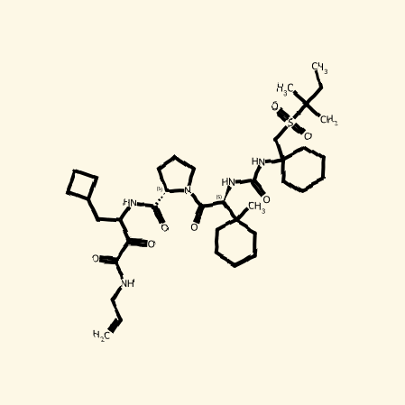 C=CCNC(=O)C(=O)C(CC1CCC1)NC(=O)[C@@H]1CCCN1C(=O)[C@@H](NC(=O)NC1(CS(=O)(=O)C(C)(C)CC)CCCCC1)C1(C)CCCCC1